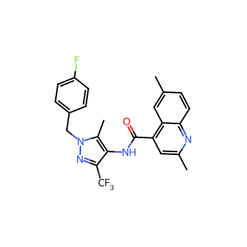 Cc1ccc2nc(C)cc(C(=O)Nc3c(C(F)(F)F)nn(Cc4ccc(F)cc4)c3C)c2c1